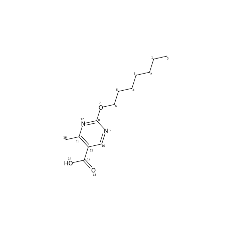 CCCCCCCOc1ncc(C(=O)O)c(C)n1